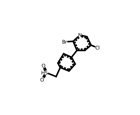 O=[SH](=O)Cc1ccc(-c2cc(Cl)cnc2Br)cc1